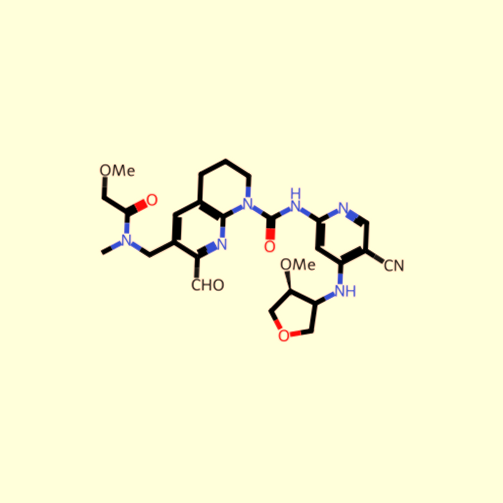 COCC(=O)N(C)Cc1cc2c(nc1C=O)N(C(=O)Nc1cc(NC3COC[C@H]3OC)c(C#N)cn1)CCC2